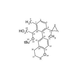 Cc1ccc(C2(C)CC2)c(-c2ccc3c(c2)CCCO3)c1C(OC(C)(C)C)C(=O)O